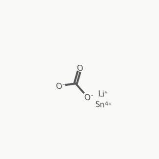 O=C([O-])[O-].[Li+].[Sn+4]